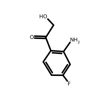 Nc1cc(F)ccc1C(=O)CO